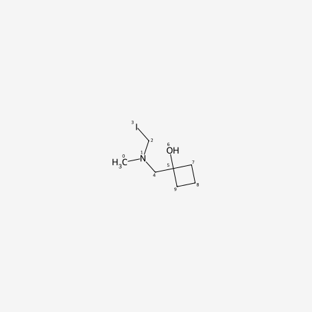 CN(CI)CC1(O)CCC1